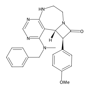 COc1ccc([C@@H]2C(=O)N3CCNc4ncnc(N(C)Cc5ccccc5)c4[C@@H]23)cc1